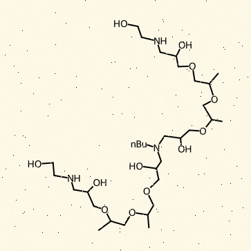 CCCCN(CC(O)COCC(C)OCC(C)OCC(O)CNCCO)CC(O)COC(C)COC(C)COCC(O)CNCCO